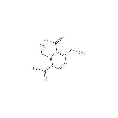 CCc1ccc(C(=O)S)c(CC)c1C(=O)S